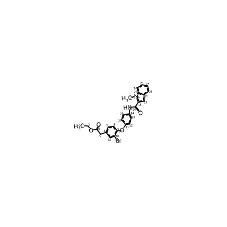 CCOC(=O)Cc1ccc(Oc2ccc(NC(=O)c3cc4ccccc4n3C)cc2)c(Br)c1